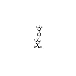 CCC(N)c1cc(F)c(OCC2CCC(c3cc(F)c(F)c(F)c3)CC2)c(F)c1